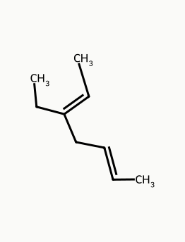 CC=CCC(=CC)CC